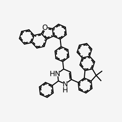 CC1(C)c2cc3ccccc3cc2-c2c(C3=CC(c4ccc(-c5cccc6oc7c8ccccc8ccc7c56)cc4)NC(c4ccccc4)N3)cccc21